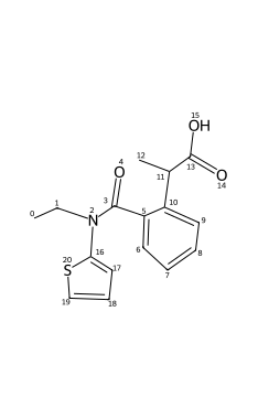 CCN(C(=O)c1ccccc1C(C)C(=O)O)c1cccs1